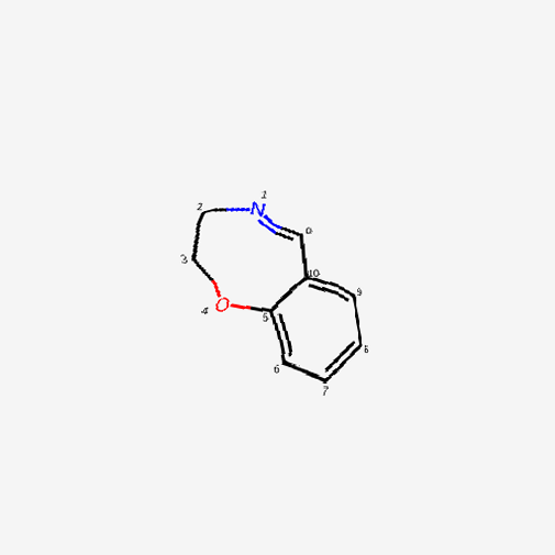 C1=NCCOc2ccccc21